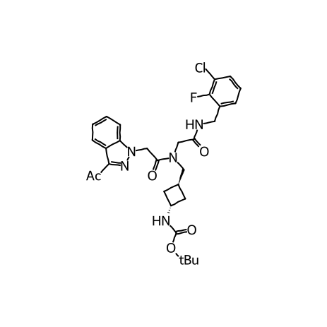 CC(=O)c1nn(CC(=O)N(CC(=O)NCc2cccc(Cl)c2F)C[C@H]2C[C@H](NC(=O)OC(C)(C)C)C2)c2ccccc12